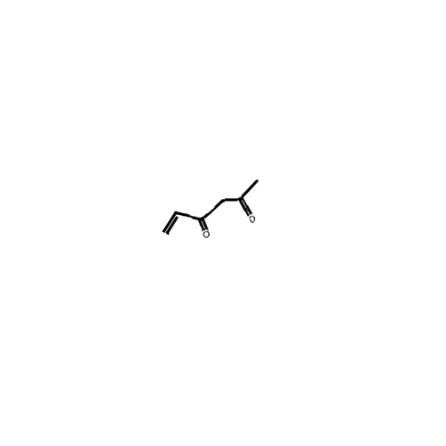 C=CC(=O)CC(C)=O